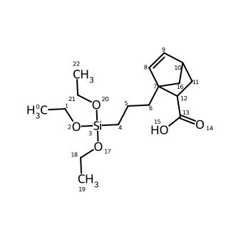 CCO[Si](CCCC12C=CC(CC1C(=O)O)C2)(OCC)OCC